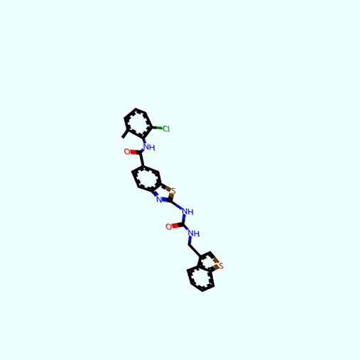 Cc1cccc(Cl)c1NC(=O)c1ccc2nc(NC(=O)NCc3csc4ccccc34)sc2c1